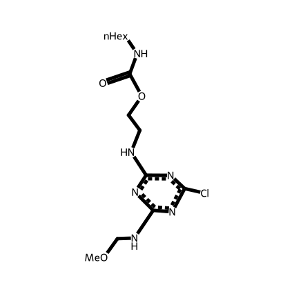 CCCCCCNC(=O)OCCNc1nc(Cl)nc(NCOC)n1